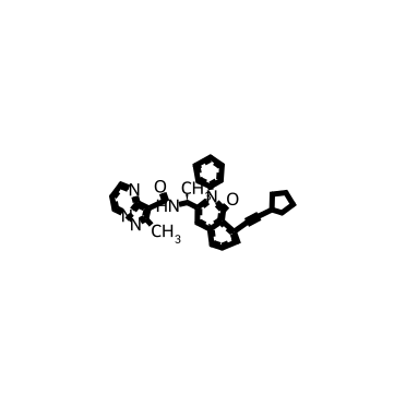 Cc1nn2cccnc2c1C(=O)N[C@H](C)c1cc2cccc(C#CC3CCCC3)c2c(=O)n1-c1ccccc1